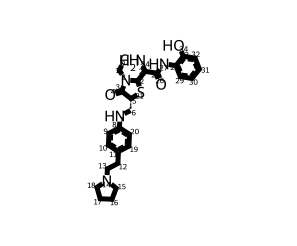 CCN1C(=O)[C@@H](CNc2ccc(CCN3CCCC3)cc2)SC1C(N)C(=O)Nc1ccccc1O